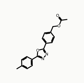 CC(=O)OCc1ccc(-c2nnc(-c3ccc(C)cc3)o2)cc1